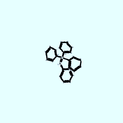 c1ccc(P(=Nc2ccccn2)(c2ccccc2)c2ccccc2)cc1